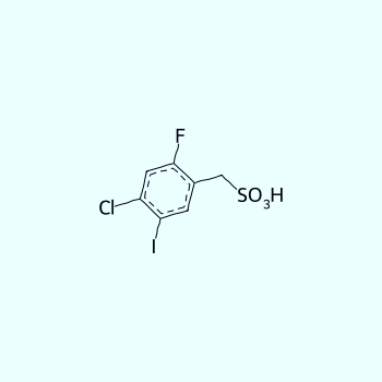 O=S(=O)(O)Cc1cc(I)c(Cl)cc1F